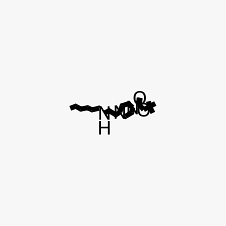 CCCCCCNCCN1CCN(C(=O)OC(C)(C)C)CC1